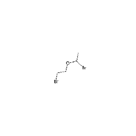 CC(Br)OCCBr